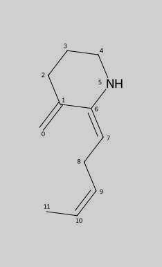 C=C1CCCN/C1=C/C/C=C\C